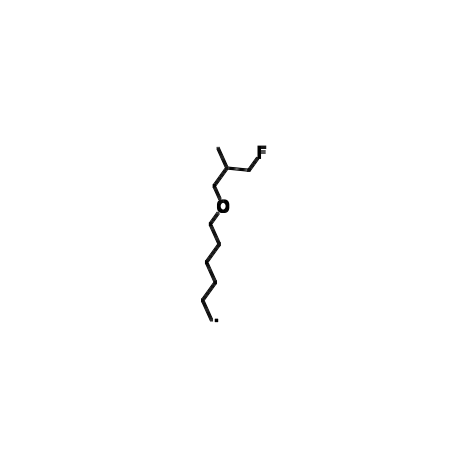 [CH2]CCCCCOCC(C)CF